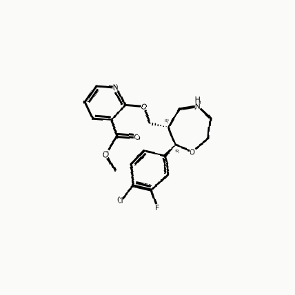 COC(=O)c1cccnc1OC[C@@H]1CNCCO[C@H]1c1ccc(Cl)c(F)c1